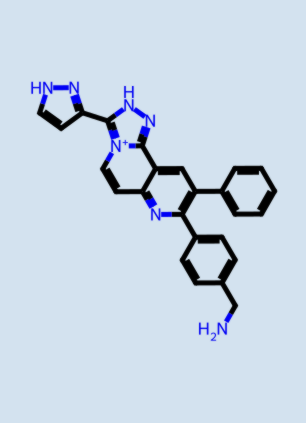 NCc1ccc(-c2nc3cc[n+]4c(-c5cc[nH]n5)[nH]nc4c3cc2-c2ccccc2)cc1